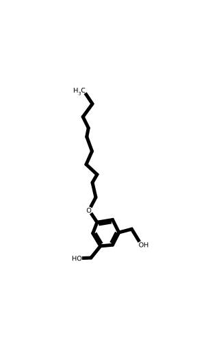 CCCCCCCCCCOc1cc(CO)cc(CO)c1